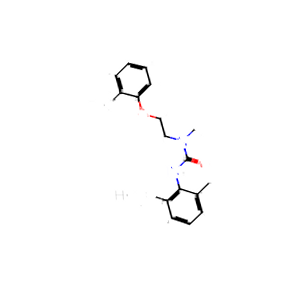 Cc1cccc(C(=O)O)c1NC(=O)N(C)CCOc1ccccc1C(F)(F)F